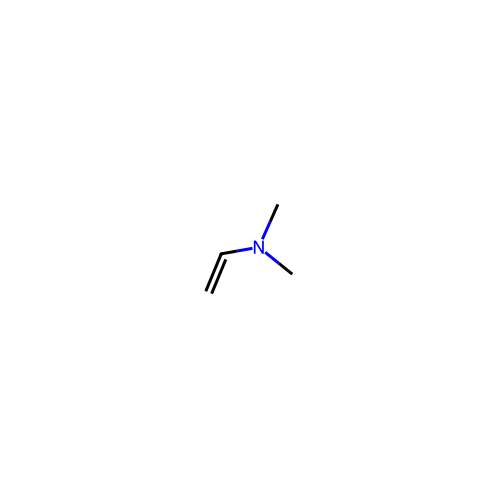 C=CN(C)C